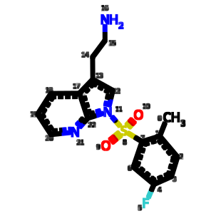 Cc1ccc(F)cc1S(=O)(=O)n1cc(CCN)c2cccnc21